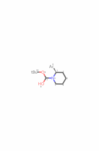 CC(=O)[C@H]1CCCCN1C(O)OC(C)(C)C